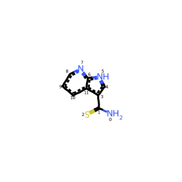 NC(=S)c1c[nH]c2ncccc12